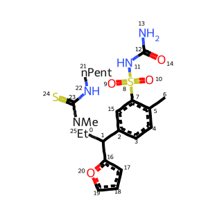 CCC(c1ccc(C)c(S(=O)(=O)NC(N)=O)c1)c1ccco1.CCCCCNC(=S)NC